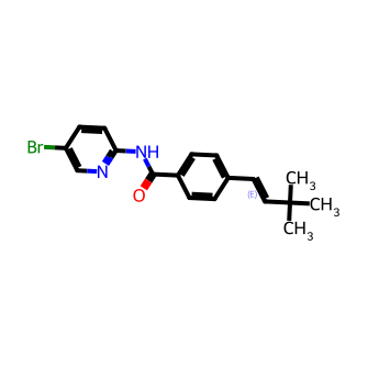 CC(C)(C)/C=C/c1ccc(C(=O)Nc2ccc(Br)cn2)cc1